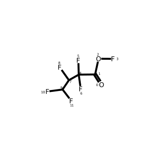 O=C(OF)C(F)(F)C(F)C(F)F